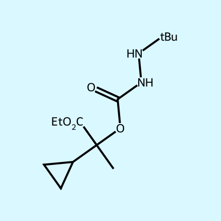 CCOC(=O)C(C)(OC(=O)NNC(C)(C)C)C1CC1